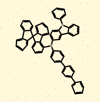 c1ccc(-c2ccc(-c3ccc(N(c4ccc5c(c4)c4ccccc4n5-c4ccccc4)c4cccc5c4-c4ccccc4C54c5ccccc5-c5ccccc54)cc3)cc2)cc1